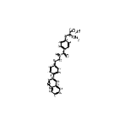 N[C@@H](Cc1ccc(C(=O)NCCc2ccc(-c3cnc4ccccc4c3)cc2)cc1)C(=O)O